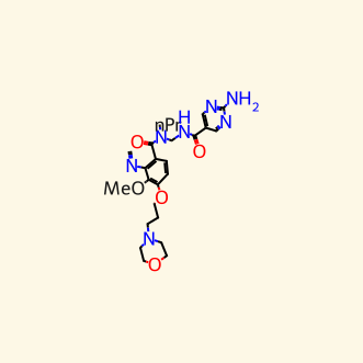 C=Nc1c(C(=O)N(CCC)CNC(=O)c2cnc(N)nc2)ccc(OCCCN2CCOCC2)c1OC